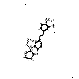 CCc1cc(C=Cc2ccc3c(c2)N(COC)c2nccnc2S3)ccc1C(=O)O